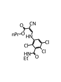 CCCOC(=O)C(C#N)=CNc1cc(Cl)c(Cl)c(C(=O)NCC)c1Cl